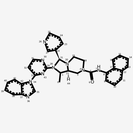 CC1[C@@H]2CN(C(=O)Nc3cccc4ccccc34)CCN2[C@H](c2cccnc2)N1c1nccc(-n2cnc3ccccc32)n1